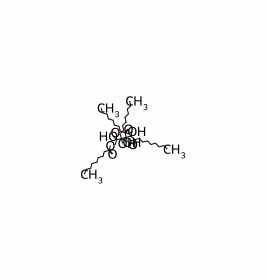 CCCCCCCCC(=O)OCC(O)C(O)(C(=O)CCCCCCCC)C(O)(C(=O)CCCCCCCC)C(O)C(=O)CCCCCCCC